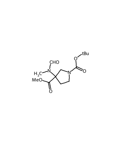 COC(=O)C1(N(C)C=O)CCN(C(=O)OC(C)(C)C)C1